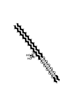 CC=COOOOOOOOOOC=CCCCCCCCCCCCCCCCCCC.CC=COOOOOOOOOOC=CCCCCCCCCCCCCCCCCCC.O=P(O)(O)O